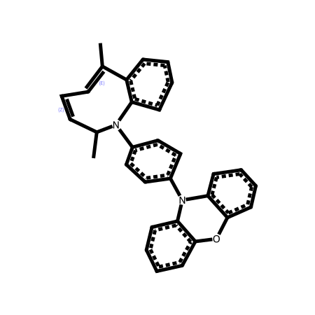 C/C1=C\C=C/C(C)N(c2ccc(N3c4ccccc4Oc4ccccc43)cc2)c2ccccc21